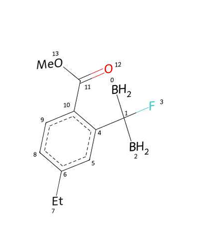 BC(B)(F)c1cc(CC)ccc1C(=O)OC